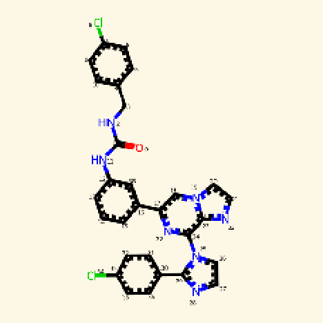 O=C(NCc1ccc(Cl)cc1)Nc1cccc(-c2cn3ccnc3c(-n3ccnc3-c3ccc(Cl)cc3)n2)c1